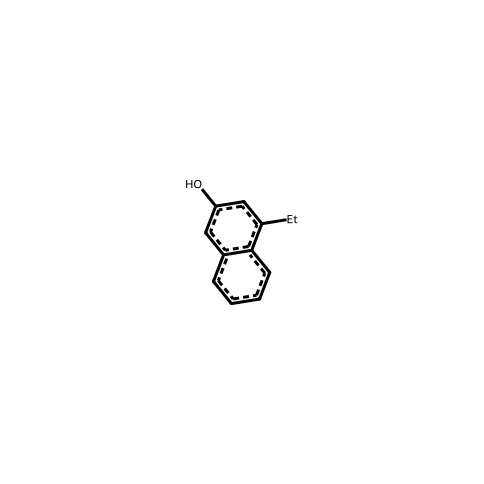 CCc1cc(O)cc2ccccc12